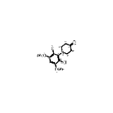 COc1cc(OC)c(Cl)c(N2CCC(=O)CC2)c1Cl